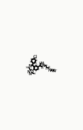 Cc1nnc2n1-c1ccc(-c3cnn(CCCN=[N+]=[N-])c3)cc1C(c1ccc(Cl)cc1)=N[C@H]2C